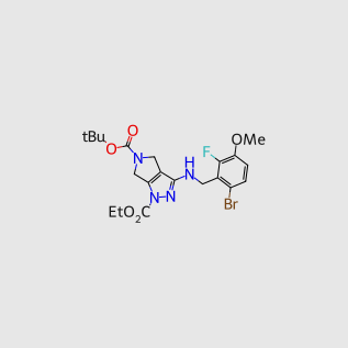 CCOC(=O)n1nc(NCc2c(Br)ccc(OC)c2F)c2c1CN(C(=O)OC(C)(C)C)C2